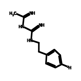 [2H]c1ccc(CCNC(=N)NC(C)=N)cc1